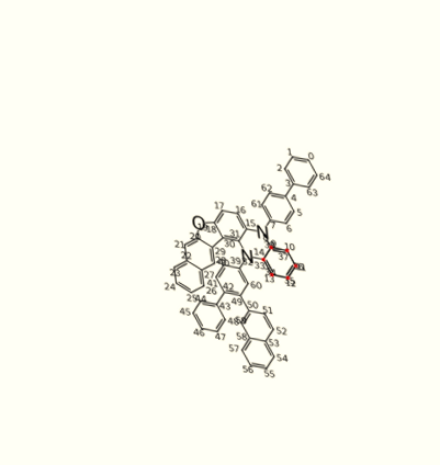 c1ccc(-c2ccc(N(c3ccccc3)c3ccc4oc5cc6ccccc6cc5c4c3N(c3ccccc3)c3ccc(-c4ccccc4)c(-c4ccc5ccccc5c4)c3)cc2)cc1